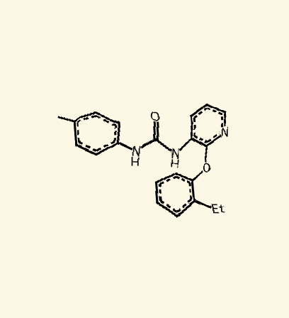 CCc1ccccc1Oc1ncccc1NC(=O)Nc1ccc(C)cc1